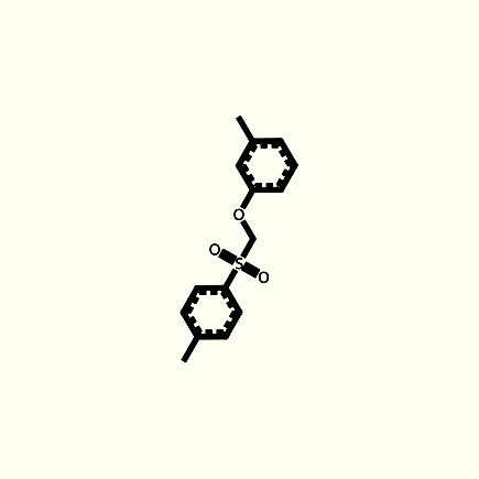 Cc1ccc(S(=O)(=O)COc2cccc(C)c2)cc1